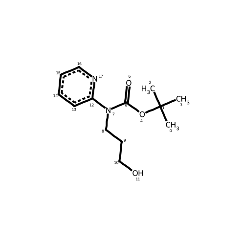 CC(C)(C)OC(=O)N(CCCO)c1ccccn1